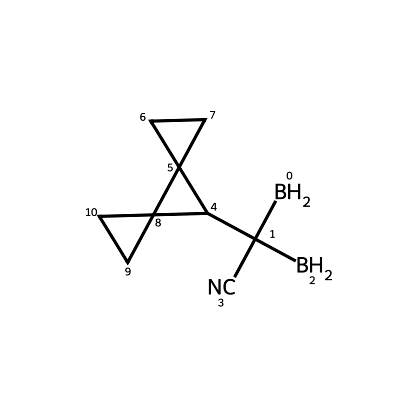 BC(B)(C#N)C1C2(CC2)C12CC2